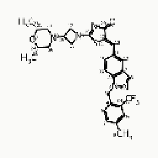 Cc1ccc(Cn2ncc3cc(/C=C4\SC(N5CC(N6C[C@@H](C)O[C@@H](C)C6)C5)=NC4=O)ccc32)c(C(F)(F)F)c1